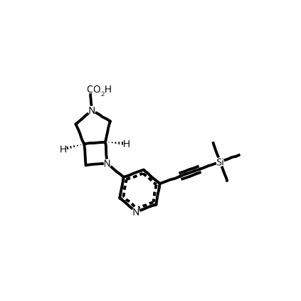 C[Si](C)(C)C#Cc1cncc(N2C[C@H]3CN(C(=O)O)C[C@H]32)c1